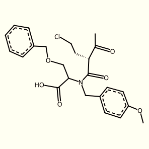 COc1ccc(CN(C(=O)[C@H](CCCl)C(C)=O)C(COCc2ccccc2)C(=O)O)cc1